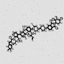 C=CC(=O)Nc1cc(Nc2nc(-c3ccnc(N4CCn5c(cc6c5CC(C)(C)C6)C4=O)c3CO)cn(C)c2=O)ccc1N1CCN(C2CCN(c3ccc4c(c3)C(=O)N(C3CCC(=O)N(C)C3=O)C4=O)CC2)C[C@@H]1C